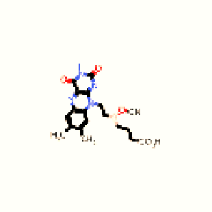 Cc1cc2nc3c(=O)[nH]c(=O)nc-3n(CCB(CCCC(=O)O)OC#N)c2cc1C